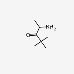 CC(N)C(=O)C(C)(C)C